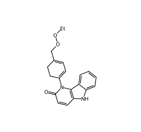 CCOOCC1=CC=C(n2c(=O)ccc3[nH]c4ccccc4c32)CC1